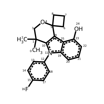 CC1(C)COC2(CCC2)c2c1n(-c1ccc(F)cc1)c1cccc(O)c21